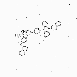 CC1(C)c2ccc(-c3ccc(-c4c5ccccc5c(-c5ccc6ccccc6c5)c5ccccc45)cc3)cc2-c2cc3c(cc21)sc1c2ccccc2ccc31